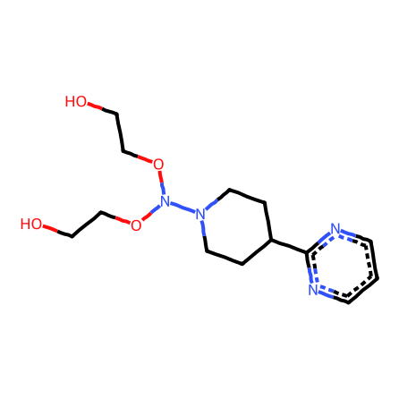 OCCON(OCCO)N1CCC(c2ncccn2)CC1